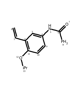 C=Cc1cc(NC(=O)P)ccc1OC(C)C